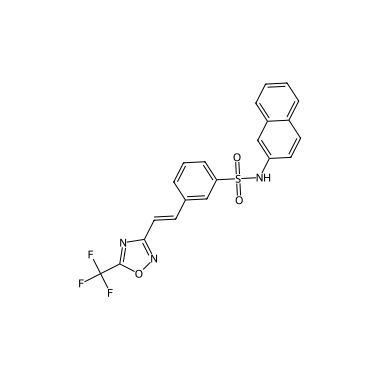 O=S(=O)(Nc1ccc2ccccc2c1)c1cccc(C=Cc2noc(C(F)(F)F)n2)c1